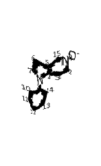 [O-][n+]1ccc2c(ccn2-c2ccccc2)c1